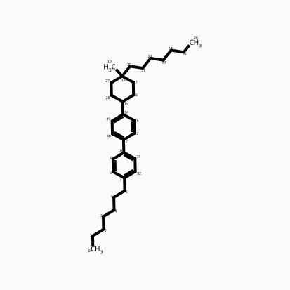 CCCCCCCc1ccc(-c2ccc(C3CCC(C)(CCCCCCC)CC3)cc2)cc1